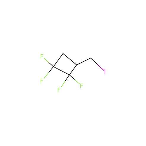 FC1(F)CC(CI)C1(F)F